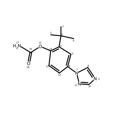 CC(C)(C)c1cc(-n2cncn2)ccc1OC(N)=O